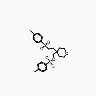 Cc1ccc(S(=O)(=O)CCC2(COS(=O)(=O)c3ccc(C)cc3)CCOCC2)cc1